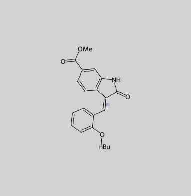 CCCCOc1ccccc1/C=C1/C(=O)Nc2cc(C(=O)OC)ccc21